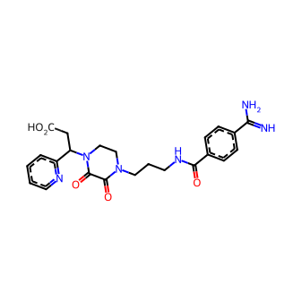 N=C(N)c1ccc(C(=O)NCCCN2CCN(C(CC(=O)O)c3ccccn3)C(=O)C2=O)cc1